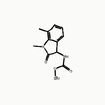 Cc1cccc2c1N(C)C(=O)C2NC(=O)OC(C)(C)C